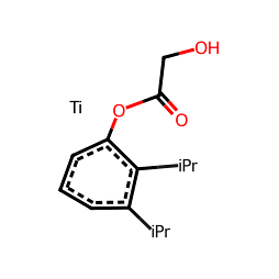 CC(C)c1cccc(OC(=O)CO)c1C(C)C.[Ti]